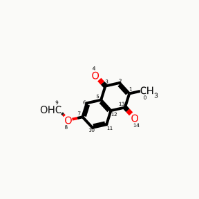 CC1=CC(=O)c2cc(OC=O)ccc2C1=O